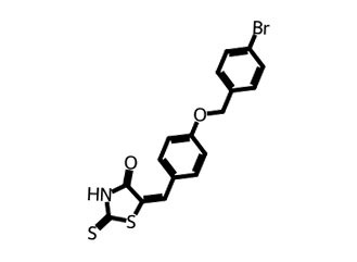 O=C1NC(=S)SC1=Cc1ccc(OCc2ccc(Br)cc2)cc1